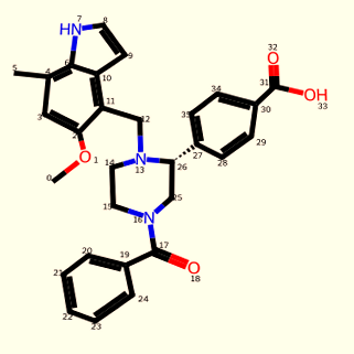 COc1cc(C)c2[nH]ccc2c1CN1CCN(C(=O)c2ccccc2)C[C@H]1c1ccc(C(=O)O)cc1